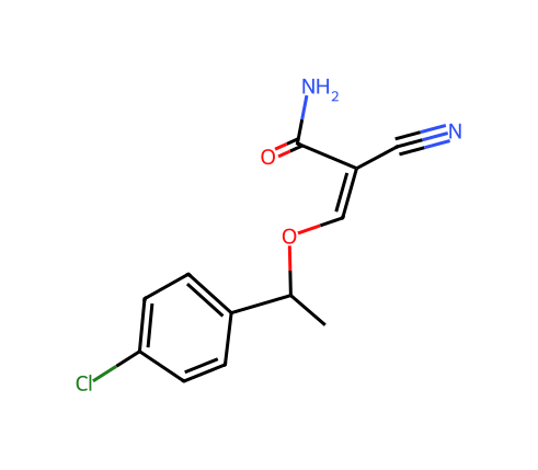 CC(OC=C(C#N)C(N)=O)c1ccc(Cl)cc1